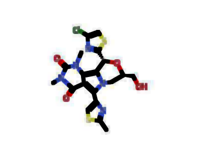 Cc1nc(-c2c3c(=O)n(C)c(=O)n(C)c3c3n2C[C@H](CO)O[C@H]3c2nc(Cl)cs2)cs1